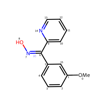 COc1cccc(/C(=N/O)c2ccccn2)c1